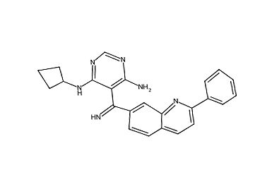 N=C(c1ccc2ccc(-c3ccccc3)nc2c1)c1c(N)ncnc1NC1CCC1